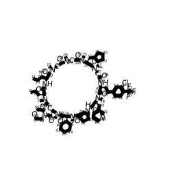 CCC[C@H]1C(=O)N[C@@H]([C@@H](C)CC)C(=O)N(C)CC(=O)N(C)CC(=O)N(C)[C@@H](CC2CCCC2)C(=O)N(C)CC(=O)N[C@@H](CCc2ccc(C(F)(F)F)c(Cl)c2)C(=O)N(C)[C@@H](Cc2cccnc2)C(=O)NC2(CCCC2)C(=O)N(C)[C@@H](C2CCCCC2)C(=O)N(C)[C@H](C(=O)N2CCOCC2)CC(=O)N1C